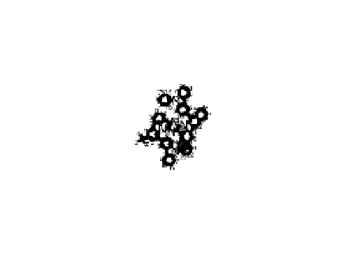 CC(C)(C)c1cc(-c2ccc3c(c2)c2ccccc2n3-c2ccccc2)c2c(c1)c1cccc3c4nc5c(nc4n2c13)c1c2ccccc2cc2c3cc4ccccc4c(-c4ccc6c(c4)c4ccccc4n6-c4ccccc4)c3n5c21